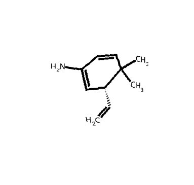 C=C[C@@H]1C=C(N)C=CC1(C)C